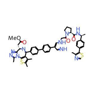 COC(=O)C[C@@H]1N=C(c2ccc(-c3ccc(/C(C=N)=C/NCC(=O)N4CCC[C@H]4C(=O)N[C@@H](C)c4ccc(-c5scnc5C)cc4)cc3)cc2)c2c(sc(C)c2C)-n2c(C)nnc21